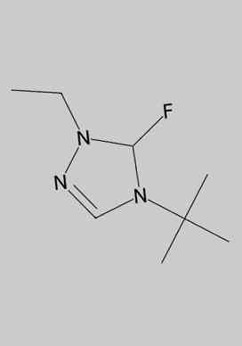 CCN1N=CN(C(C)(C)C)C1F